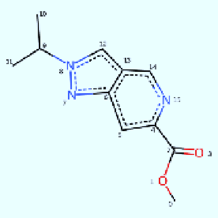 COC(=O)c1cc2nn(C(C)C)cc2cn1